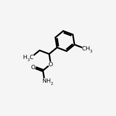 CCC(OC(N)=O)c1cccc(C)c1